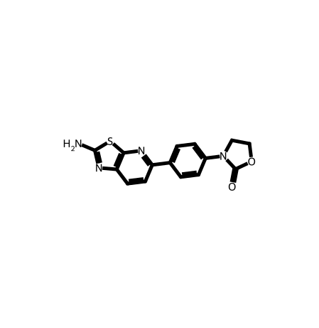 Nc1nc2ccc(-c3ccc(N4CCOC4=O)cc3)nc2s1